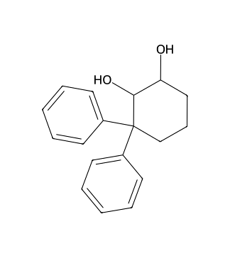 OC1CCCC(c2ccccc2)(c2ccccc2)C1O